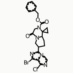 O=C1CN(C(=O)OCc2ccccc2)C2(CC2)C2CCC(c3nc(Br)c4c(Cl)nccn34)CN12